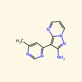 Cc1cc(-c2c(N)nn3cccnc23)ncn1